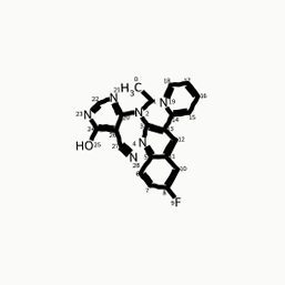 CCN(c1nc2ccc(F)cc2cc1-c1ccccn1)c1ncnc(O)c1C#N